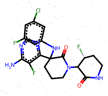 Nc1ncnc(C2(Nc3cc(F)cc(Cl)c3)CCCN(C3C(=O)NCC[C@H]3F)C2=O)c1F